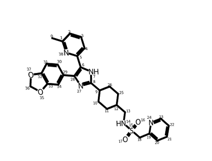 Cc1cccc(-c2[nH]c(C3CCC(CNS(=O)(=O)Cc4ccccn4)CC3)nc2-c2ccc3c(c2)OCO3)n1